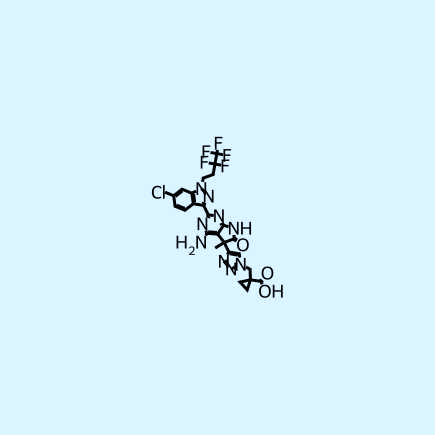 CC1(c2cn(CC3(C(=O)O)CC3)nn2)C(=O)Nc2nc(-c3nn(CCC(F)(F)C(F)(F)F)c4cc(Cl)ccc34)nc(N)c21